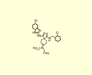 CCc1ccc2[nH]c(NC(=O)C3(C(=O)NCc4ccccc4Cl)CCN(N(CC=O)C(=O)O)CC3)nc2c1